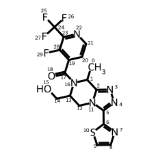 CC1c2nnc(-c3nccs3)n2CC(CO)N1C(=O)c1ccnc(C(F)(F)F)c1F